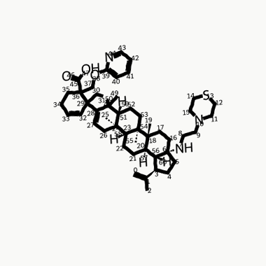 C=C(C)[C@@H]1CC[C@]2(NCCN3CCSCC3)CC[C@]3(C)[C@H](CC[C@@H]4[C@@]5(C)CC=C(C6(CC)C=CCCC6(COc6ccccn6)C(=O)O)C(C)(C)[C@@H]5CC[C@]43C)[C@@H]12